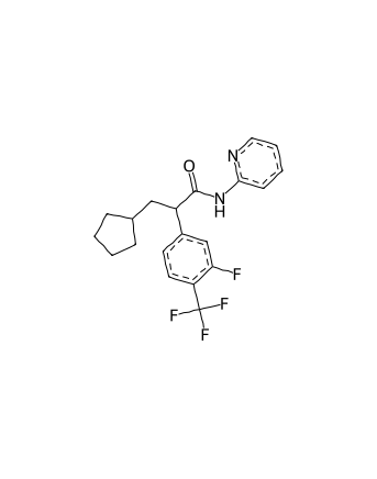 O=C(Nc1ccccn1)C(CC1CCCC1)c1ccc(C(F)(F)F)c(F)c1